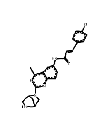 Cc1nc(N2CC3CC2CN3)nc2ccc(NC(=O)C=Cc3ccc(Cl)cc3)cc12